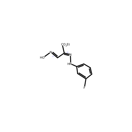 CCOC(=O)C(/C=N/O)=N/Nc1cccc(F)c1